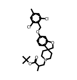 Cc1cc(Cl)c(COc2ccc3c(c2)OCC32CCN(CC(C)C(=O)OC(C)(C)C)CC2)c(Cl)c1